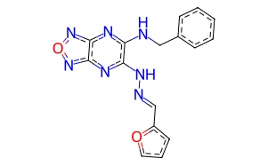 C(=NNc1nc2nonc2nc1NCc1ccccc1)c1ccco1